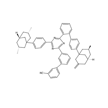 C=C1C[C@@H]2C[C@H](C)CC(c3ccc(-c4ccccc4-c4nc(-c5ccc(C67C[C@H](C)C[C@H](C[C@H](C)C6)C7)cc5)nc(-c5cccc(-c6cccc(C#N)c6)c5)n4)cc3)(C1)C2